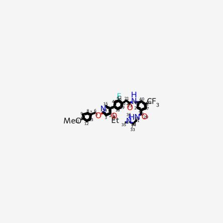 CCOc1cc(OCc2ccc(OC)cc2)ncc1-c1ccc(CC(=O)Nc2cc(C(=O)NC[C@H](C)N(C)C)cc(C(F)(F)F)c2)c(F)c1